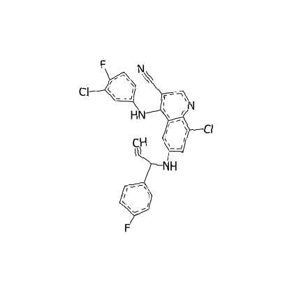 C#CC(Nc1cc(Cl)c2ncc(C#N)c(Nc3ccc(F)c(Cl)c3)c2c1)c1ccc(F)cc1